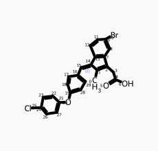 CC1=C(CC(=O)O)c2cc(Br)ccc2/C1=C/c1ccc(Oc2ccc(Cl)cc2)cc1